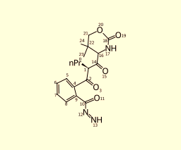 CCC[C@H](C(=O)c1ccccc1C(=O)N=N)C(=O)C1NC(=O)OCC1(C)C